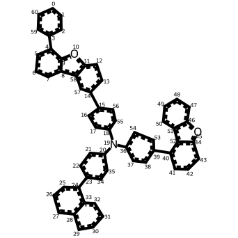 c1ccc(-c2cccc3c2oc2ccc(-c4ccc(N(c5ccc(-c6cccc7ccccc67)cc5)c5ccc(-c6cccc7oc8ccccc8c67)cc5)cc4)cc23)cc1